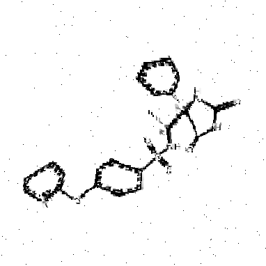 C[C@@H](NS(=O)(=O)c1ccc(Oc2ccccn2)cc1)[C@@]1(c2ccccc2)NC(=O)NC1=O